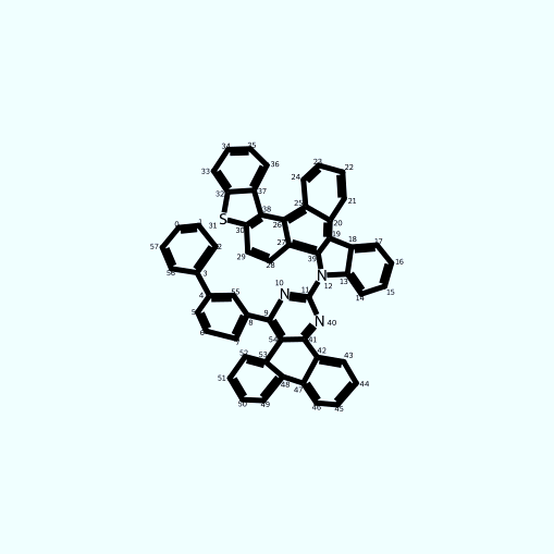 c1ccc(-c2cccc(-c3nc(-n4c5ccccc5c5c6ccccc6c6c(ccc7sc8ccccc8c76)c54)nc4c5ccccc5c5ccccc5c34)c2)cc1